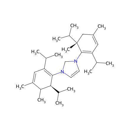 CC1=CC(C(C)C)=C(N2C=CN(C3=C(C(C)C)C=C(C)C(C)[C@@H]3C(C)C)C2)[C@](C)(C(C)C)C1